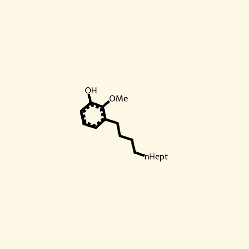 CCCCCCCCCCCc1cccc(O)c1OC